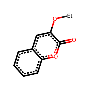 CCOc1cc2ccccc2oc1=O